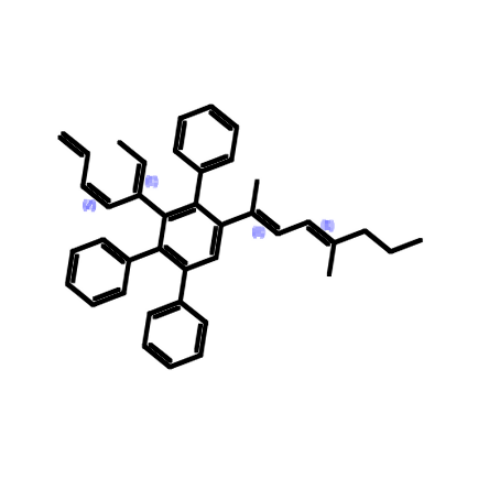 C=C/C=C\C(=C/C)c1c(-c2ccccc2)c(/C(C)=C/C=C(\C)CCC)cc(-c2ccccc2)c1-c1ccccc1